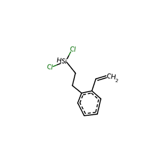 C=Cc1ccccc1CC[SiH](Cl)Cl